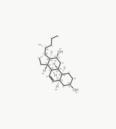 CCC[C@@H](C)[C@H]1CC[C@H]2[C@@H]3C=C[C@@H]4C[C@H](O)CC[C@]4(C)[C@H]3C[C@H](O)[C@]12C